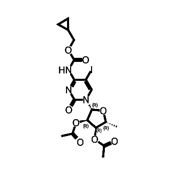 CC(=O)O[C@@H]1[C@H](OC(C)=O)[C@@H](C)O[C@H]1n1cc(I)c(NC(=O)OCC2CC2)nc1=O